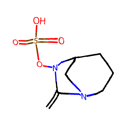 C=C1N2CCCC(C2)N1OS(=O)(=O)O